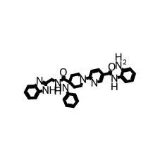 Nc1ccccc1NC(=O)c1ccc(N2CCC(Nc3ccccc3)(C(=O)NCc3nc4ccccc4[nH]3)CC2)nc1